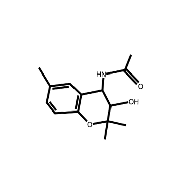 CC(=O)NC1c2cc(C)ccc2OC(C)(C)C1O